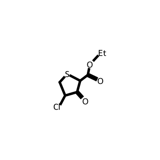 CCOC(=O)C1SCC(Cl)C1=O